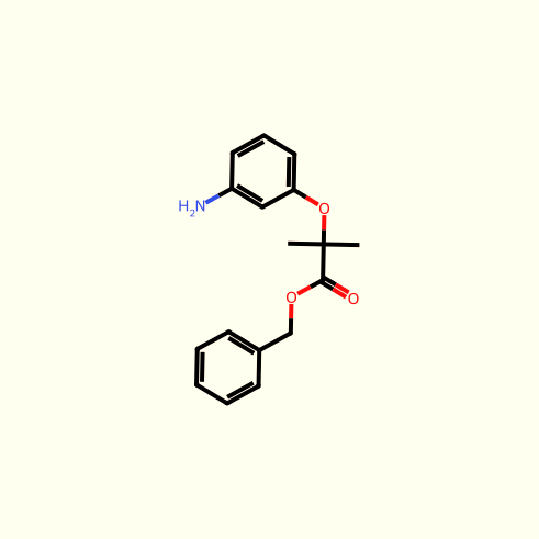 CC(C)(Oc1cccc(N)c1)C(=O)OCc1ccccc1